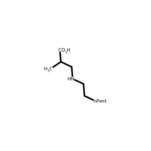 CCCCCCCNCC(C)C(=O)O